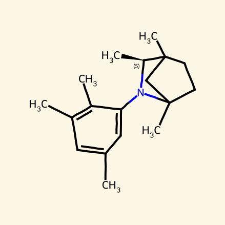 Cc1cc(C)c(C)c(N2[C@@H](C)C3(C)CCC2(C)C3)c1